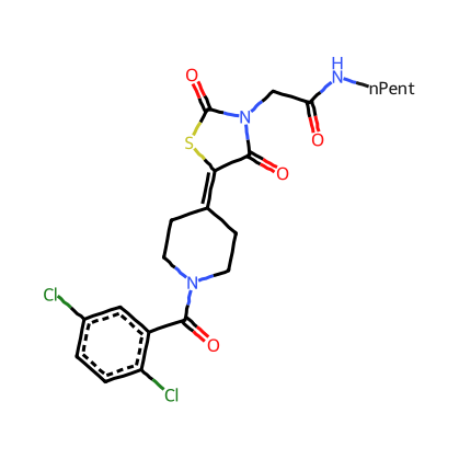 CCCCCNC(=O)CN1C(=O)SC(=C2CCN(C(=O)c3cc(Cl)ccc3Cl)CC2)C1=O